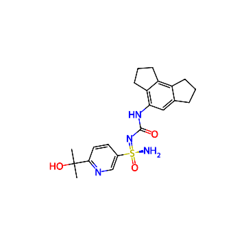 CC(C)(O)c1ccc([S@@](N)(=O)=NC(=O)Nc2cc3c(c4c2CCC4)CCC3)cn1